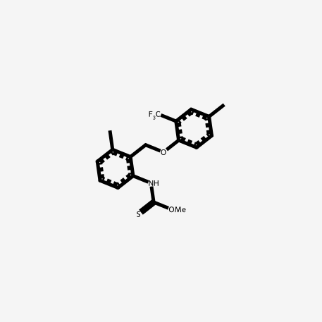 COC(=S)Nc1cccc(C)c1COc1ccc(C)cc1C(F)(F)F